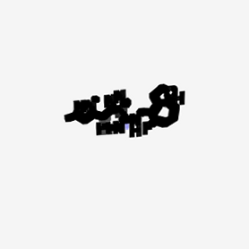 CC/N=C(/NCC1=C2CCO[C@@H]2C=CC=C1F)n1cnnc1[C@H](C)c1cc(C)nn1C